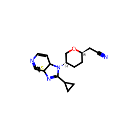 N#CC[C@H]1CC[C@H](N2C(C3CC3)=NC34SC=CC3=NC=CC24)CO1